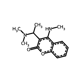 CNc1c(C(C)N(C)C)c(=O)oc2ccccc12